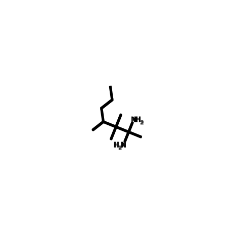 CCCC(C)C(C)(C)C(C)(N)N